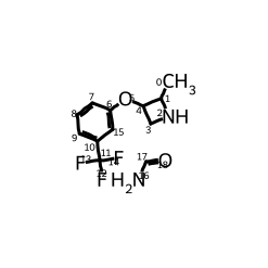 CC1NCC1Oc1cccc(C(F)(F)F)c1.NC=O